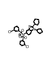 O=S(=O)(c1cccc(Cl)c1)N(c1ccc2c(c1)nc(-c1ccccc1)n2-c1ccccc1)S(=O)(=O)c1cccc(Cl)c1